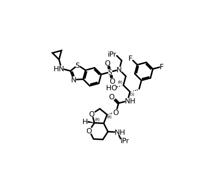 CC(C)CN(C[C@@H](O)[C@H](Cc1cc(F)cc(F)c1)NC(=O)O[C@H]1CO[C@H]2OCCC(NC(C)C)C21)S(=O)(=O)c1ccc2nc(NC3CC3)sc2c1